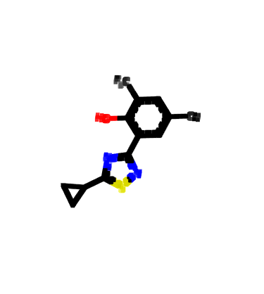 N#Cc1cc(-c2nsc(C3CC3)n2)c(O)c(C(F)(F)F)c1